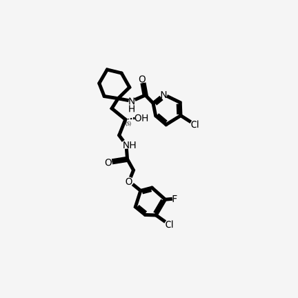 O=C(COc1ccc(Cl)c(F)c1)NC[C@@H](O)CC1(NC(=O)c2ccc(Cl)cn2)CCCCC1